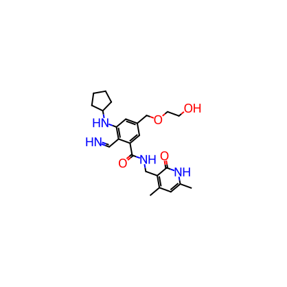 Cc1cc(C)c(CNC(=O)c2cc(COCCO)cc(NC3CCCC3)c2C=N)c(=O)[nH]1